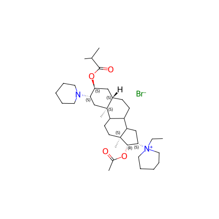 CC[N+]1([C@H]2CC3C4CC[C@H]5C[C@H](OC(=O)C(C)C)[C@@H](N6CCCCC6)C[C@]5(C)C4CC[C@]3(C)[C@H]2OC(C)=O)CCCCC1.[Br-]